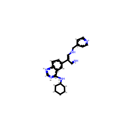 N=C/C(=C\NCc1ccncc1)c1ccc2ncnc(NC3CCCCC3)c2c1